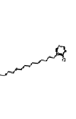 CCCCCCCCCCCCCCCCn1ccccc1=O